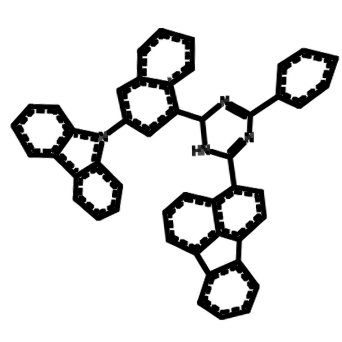 c1ccc(C2=NC(c3cc(-n4c5ccccc5c5ccccc54)cc4ccccc34)NC(c3ccc4c5c(cccc35)-c3ccccc3-4)=N2)cc1